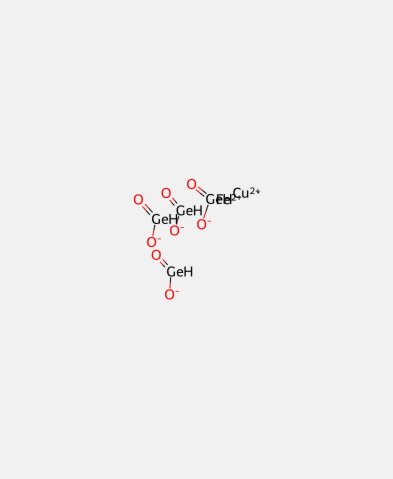 [Cu+2].[Fe+2].[O]=[GeH][O-].[O]=[GeH][O-].[O]=[GeH][O-].[O]=[GeH][O-]